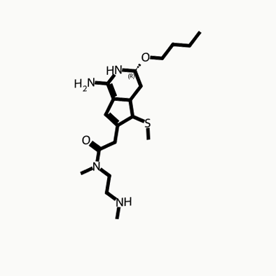 CCCCO[C@@H]1CC2C(=C(N)N1)C=C(CC(=O)N(C)CCNC)C2SC